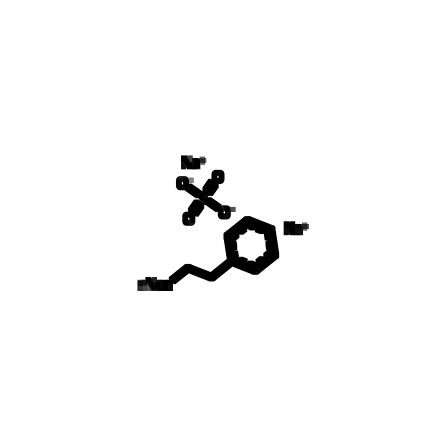 CCCCCCCCCCCc1ccccc1.O=S(=O)([O-])[O-].[Na+].[Na+]